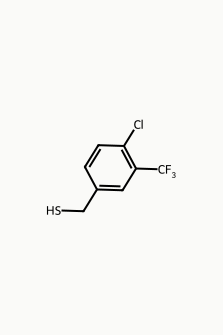 FC(F)(F)c1cc(CS)ccc1Cl